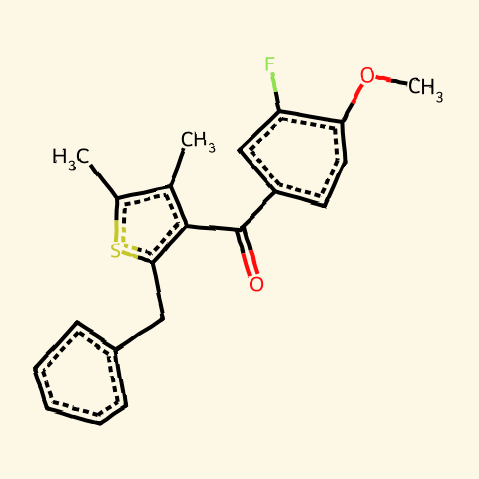 COc1ccc(C(=O)c2c(Cc3ccccc3)sc(C)c2C)cc1F